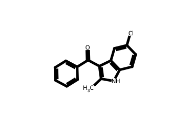 Cc1[nH]c2ccc(Cl)cc2c1C(=O)c1ccccc1